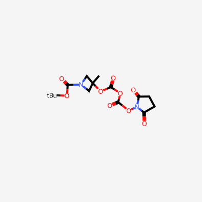 CC(C)(C)OC(=O)N1CC(C)(OC(=O)OC(=O)ON2C(=O)CCC2=O)C1